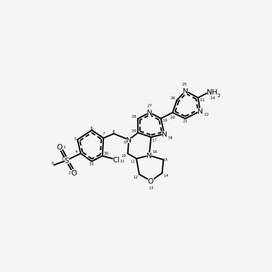 CS(=O)(=O)c1ccc(CN2CC3COCCN3c3nc(-c4cnc(N)nc4)ncc32)c(Cl)c1